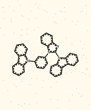 c1cc(-n2c(-n3c4ccccc4c4ccccc43)nc3ccccc32)cc(-n2c3ccccc3c3ccccc32)c1